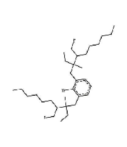 CCCCCCC(CF)C(C)(CC)Cc1cccc(CC(C)(CC)C(CF)CCCCCC)[c]1[Ti]